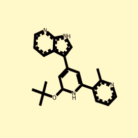 Cc1ncccc1C1=CC(c2c[nH]c3ncccc23)=CC(OC(C)(C)C)N1